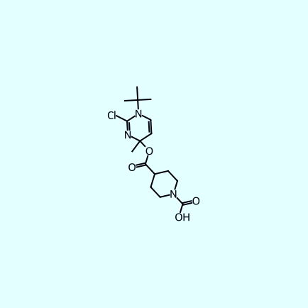 CC1(OC(=O)C2CCN(C(=O)O)CC2)C=CN(C(C)(C)C)C(Cl)=N1